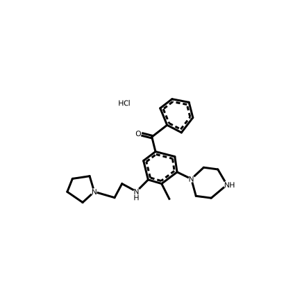 Cc1c(NCCN2CCCC2)cc(C(=O)c2ccccc2)cc1N1CCNCC1.Cl